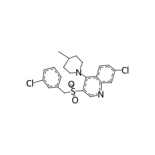 CC1CCN(c2c(S(=O)(=O)Cc3cccc(Cl)c3)cnc3cc(Cl)ccc23)CC1